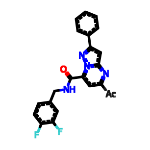 CC(=O)c1cc(C(=O)NCc2ccc(F)c(F)c2)n2nc(-c3ccccc3)cc2n1